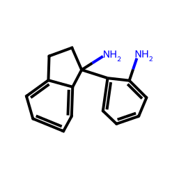 Nc1ccccc1C1(N)CCc2ccccc21